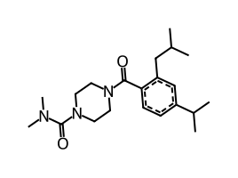 CC(C)Cc1cc(C(C)C)ccc1C(=O)N1CCN(C(=O)N(C)C)CC1